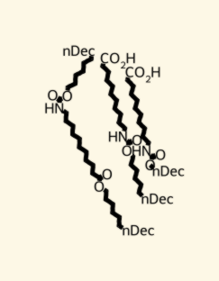 CCCCCCCCCCCCCCCCOC(=O)CCCCCCCCCCNC(=O)OCCCCCCCCCCCCCCCC.CCCCCCCCCCCCCCCCOC(=O)NCCCCCCCCCCC(=O)O.CCCCCCCCCCOC(=O)NCCCCCCCCCCC(=O)O